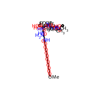 CC[C@H](C)[C@@H]([C@@H](CC(=O)N1CCC[C@H]1[C@H](OC)[C@@H](C)C(=O)N[C@H](C)[C@@H](O)c1ccccc1)OC)N(C)C(=O)[C@@H](NC(=O)[C@H](C(C)C)N(C)C(=O)OCc1ccc(O[C@@H]2OC(C(=O)O)=C[C@H](O)[C@H]2O)c(NC(=O)CCNC(=O)[C@@H](N)CCCCNC(=O)CCOCCOCCOCCOCCOCCOCCOCCOCCOCCOCCOCCOC)c1)C(C)C